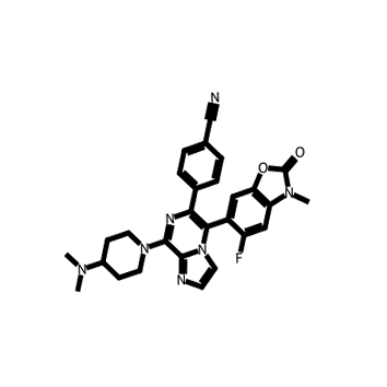 CN(C)C1CCN(c2nc(-c3ccc(C#N)cc3)c(-c3cc4oc(=O)n(C)c4cc3F)n3ccnc23)CC1